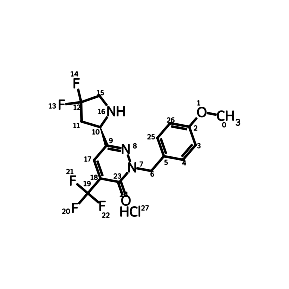 COc1ccc(Cn2nc([C@H]3CC(F)(F)CN3)cc(C(F)(F)F)c2=O)cc1.Cl